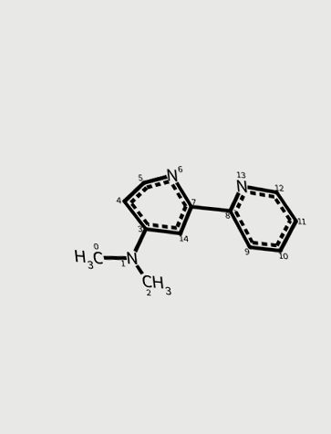 CN(C)c1ccnc(-c2ccccn2)c1